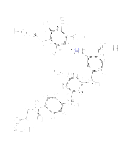 CCn1c(O)c(/N=N/c2cc(Nc3nc(Cl)nc(Nc4ccc(S(=O)(=O)CCOS(=O)(=O)O)cc4)n3)ccc2S(=O)(=O)O)c(C)c(CS(=O)(=O)O)c1=O